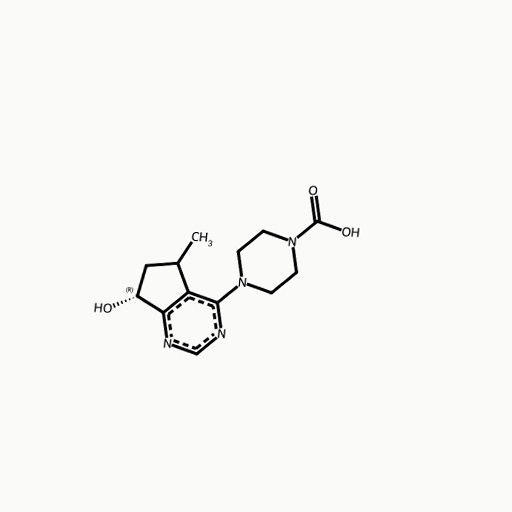 CC1C[C@@H](O)c2ncnc(N3CCN(C(=O)O)CC3)c21